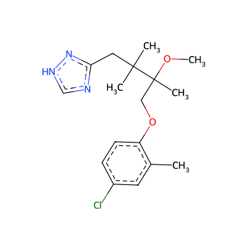 COC(C)(COc1ccc(Cl)cc1C)C(C)(C)Cc1nc[nH]n1